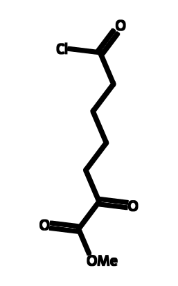 COC(=O)C(=O)CCCCC(=O)Cl